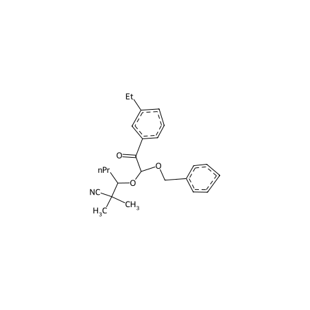 CCCC(OC(OCc1ccccc1)C(=O)c1cccc(CC)c1)C(C)(C)C#N